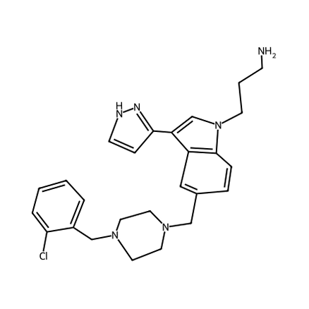 NCCCn1cc(-c2cc[nH]n2)c2cc(CN3CCN(Cc4ccccc4Cl)CC3)ccc21